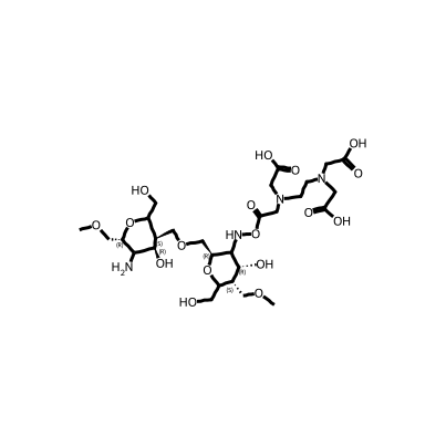 COC[C@@H]1OC(CO)[C@@H](COC[C@@H]2OC(CO)[C@@H](COC)[C@@H](O)C2NOC(=O)CN(CCN(CC(=O)O)CC(=O)O)CC(=O)O)[C@@H](O)C1N